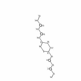 CCOCOCC1CCC(COCOCC)CC1